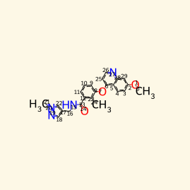 COc1ccc2c(Oc3cccc(C(=O)NCc4cnn(C)c4)c3C)ccnc2c1